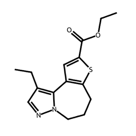 CCOC(=O)c1cc2c(s1)CCCn1ncc(CC)c1-2